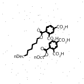 CCCCCCCCCCCCCCCCOC(=O)c1ccc(C(=O)O)cc1C(=O)O.CCCCCCCCOC(=O)c1ccc(C(=O)O)cc1C(=O)O